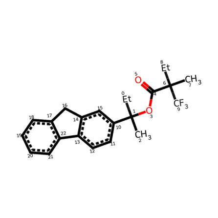 CCC(C)(OC(=O)C(C)(CC)C(F)(F)F)c1ccc2c(c1)Cc1ccccc1-2